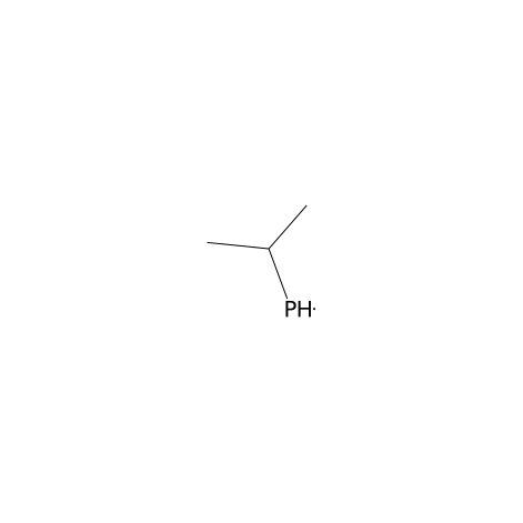 CC(C)[PH]